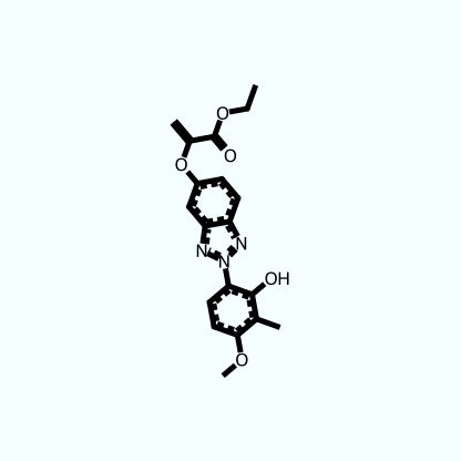 C=C(Oc1ccc2nn(-c3ccc(OC)c(C)c3O)nc2c1)C(=O)OCC